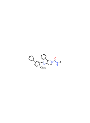 CCNC(=O)N1CCC(NCc2cc(-c3ccccc3)ccc2OC)C(c2ccccc2)C1